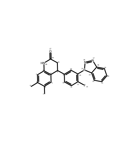 Cc1cc2c(cc1C)C(c1ccc(F)c(-n3nnc4ccccc43)c1)CC(=O)N2